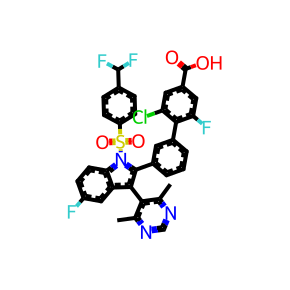 Cc1ncnc(C)c1-c1c(-c2cccc(-c3c(F)cc(C(=O)O)cc3Cl)c2)n(S(=O)(=O)c2ccc(C(F)F)cc2)c2ccc(F)cc12